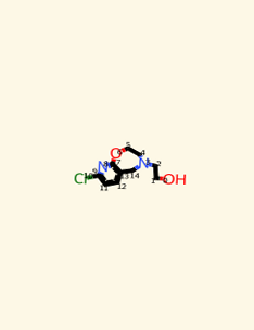 OCCN1CCOc2nc(Cl)ccc2C1